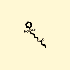 CC=CC(=O)OCCCC[Si](O)(O)c1ccccc1